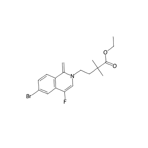 C=C1c2ccc(Br)cc2C(F)=CN1CCC(C)(C)C(=O)OCC